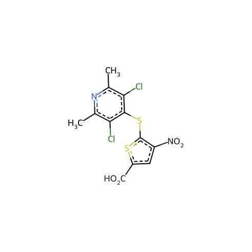 Cc1nc(C)c(Cl)c(Sc2sc(C(=O)O)cc2[N+](=O)[O-])c1Cl